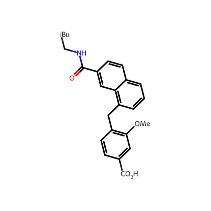 CCC(C)CNC(=O)c1ccc2cccc(Cc3ccc(C(=O)O)cc3OC)c2c1